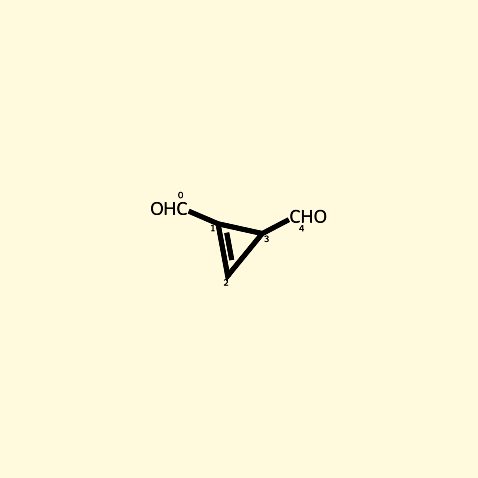 O=CC1=CC1C=O